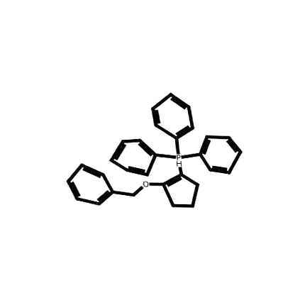 c1ccc(COC2=C([PH](c3ccccc3)(c3ccccc3)c3ccccc3)CCC2)cc1